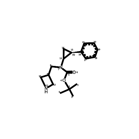 CC(C)(C)OC(=O)N(CC1CNC1)C1C[C@H]1c1ccccc1